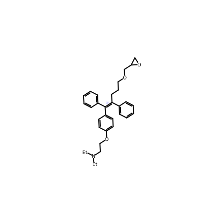 CCN(CC)CCOc1ccc(/C(=C(/CCCOCC2CO2)c2ccccc2)c2ccccc2)cc1